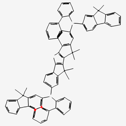 CC1(C)c2ccccc2-c2ccc(N(c3ccc4c(c3)C(C)(C)c3c-4sc4c3C(C)(C)c3cc(N(c5ccc6c(c5)C(C)(C)c5ccccc5-6)c5ccccc5-c5ccccc5)ccc3-4)c3ccccc3-c3ccccc3)cc21